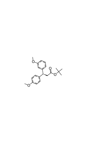 COc1ccc([C@H](CC(=O)OC(C)(C)C)c2cccc(OC)c2)cc1